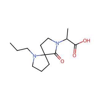 CCCN1CCCC12CCN(C(C)C(=O)O)C2=O